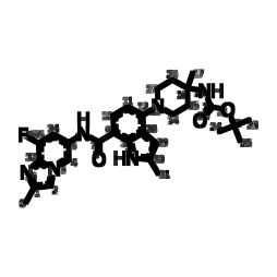 Cc1cn2cc(NC(=O)c3ccc(N4CCC(C)(NC(=O)OC(C)(C)C)CC4)c4cc(C)[nH]c34)cc(F)c2n1